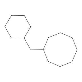 C1CCC[C](CC2CCCCC2)CCC1